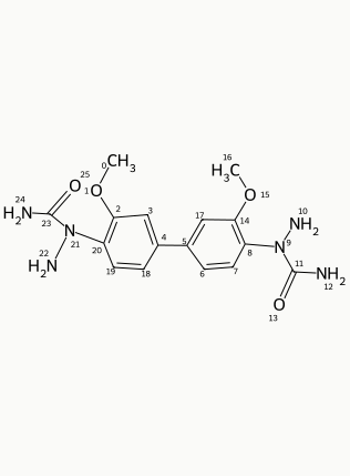 COc1cc(-c2ccc(N(N)C(N)=O)c(OC)c2)ccc1N(N)C(N)=O